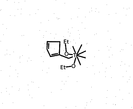 CC[O][Ti]([CH3])([CH3])([CH3])([CH3])([CH3])([CH2]C1=CC=CC1)[O]CC